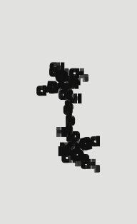 COc1ccc2c(c1)C(c1ccc(Cl)cc1)=N[C@@H](CC(=O)NCCOCCOCCNC(=O)C[C@@H]1N=C(c3ccc(Cl)cc3)c3cc(OC)ccc3-n3c(C)nnc31)c1nnc(C)n1-2